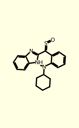 CN(c1ccccc1C(=S=O)c1nc2ccccc2[nH]1)C1CCCCC1